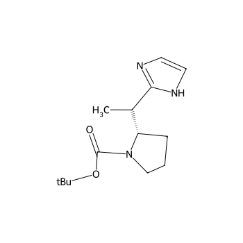 CC(c1ncc[nH]1)[C@@H]1CCCN1C(=O)OC(C)(C)C